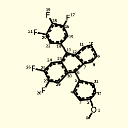 COc1ccc(-c2c3ccccc3c(-c3cc(F)c(F)c(F)c3)c3cc(F)c(F)cc23)cc1